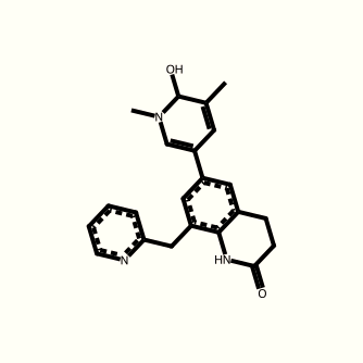 CC1=CC(c2cc3c(c(Cc4ccccn4)c2)NC(=O)CC3)=CN(C)C1O